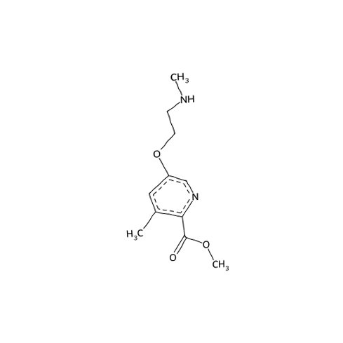 CNCCOc1cnc(C(=O)OC)c(C)c1